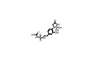 O=C(O)NS(=O)(=O)NCCc1ccc(N2CC(=O)NS2(O)O)c(O)c1